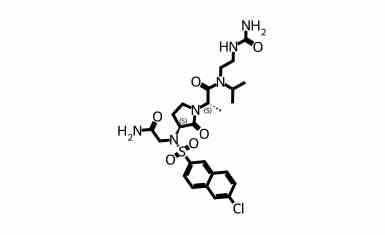 CC(C)N(CCNC(N)=O)C(=O)[C@H](C)N1CC[C@H](N(CC(N)=O)S(=O)(=O)c2ccc3cc(Cl)ccc3c2)C1=O